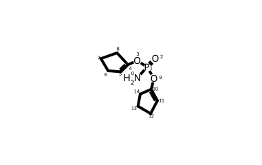 NP(=O)(OC1=CCCC1)OC1=CCCC1